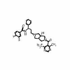 Cc1ncnc(C)c1C(=O)N1CC2CN(CCC(NC(=O)c3ccc(F)c(F)c3)c3ccccc3)C[C@H]2C1